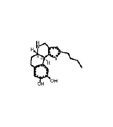 CCCCc1cc2c(s1)[C@H]1c3cc(O)c(O)cc3CC[C@@H]1NC2